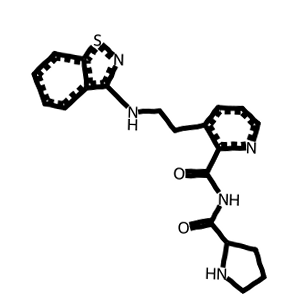 O=C(NC(=O)C1CCCN1)c1ncccc1CCNc1nsc2ccccc12